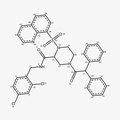 O=C(NCc1ccc(Cl)cc1Cl)C1CN(C(=O)C(c2ccccc2)c2ccccc2)CCN1S(=O)(=O)c1cccc2cccnc12